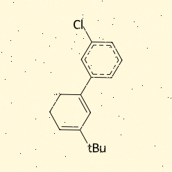 CC(C)(C)C1=CC[CH]C(c2cccc(Cl)c2)=C1